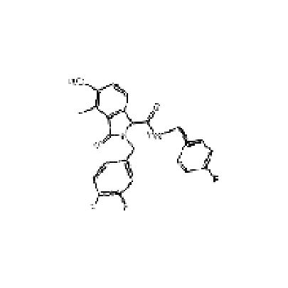 Cc1c(O)ccc2c1C(=O)N(Cc1ccc(F)c(F)c1)C2C(=O)NCc1ccc(F)cc1